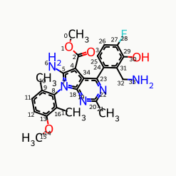 COC(=O)c1c(N)n(-c2c(C)ccc(OC)c2C)c2nc(C)nc(-c3ccc(F)c(O)c3CN)c12